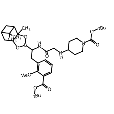 COc1c(CC(NC(=O)CNC2CCN(C(=O)OC(C)(C)C)CC2)B2OC3CC4CC(C4(C)C)C3(C)O2)cccc1C(=O)OC(C)(C)C